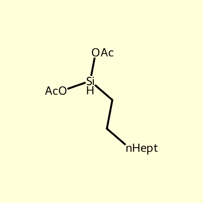 CCCCCCCCC[SiH](OC(C)=O)OC(C)=O